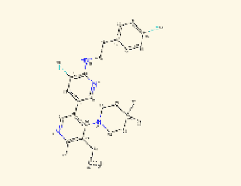 Cc1ncc(-c2cnc(NCCc3ccc(F)cc3)c(F)c2)c(N2CCC(C)(C)CC2)c1CC(=O)O